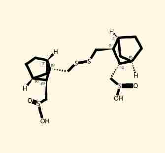 O=S(O)C[C@H]1[C@@H]2CC[C@@H](C2)[C@@H]1CSSC[C@H]1[C@H]2CC[C@H](C2)[C@@H]1CS(=O)O